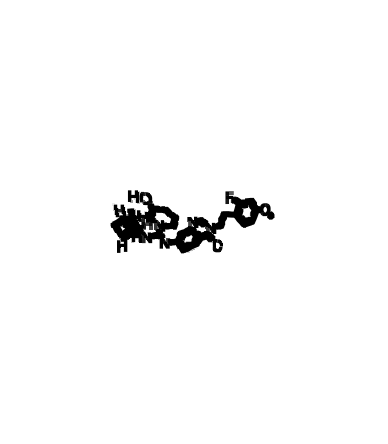 COc1ccc(CCn2cnc3cc(N=C(N[C@H]4C[C@H]5C[C@H]([C@H]4C)C5(C)C)N4CCCC(O)C4)ccc3c2=O)c(F)c1